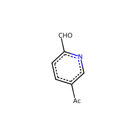 CC(=O)c1ccc(C=O)nc1